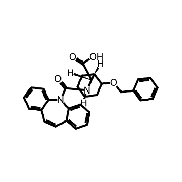 O=C(O)[C@@H]1[C@@H]2CC[C@@H](CC2OCc2ccccc2)N1C(=O)N1c2ccccc2C=Cc2ccccc21